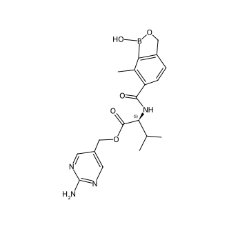 Cc1c(C(=O)N[C@H](C(=O)OCc2cnc(N)nc2)C(C)C)ccc2c1B(O)OC2